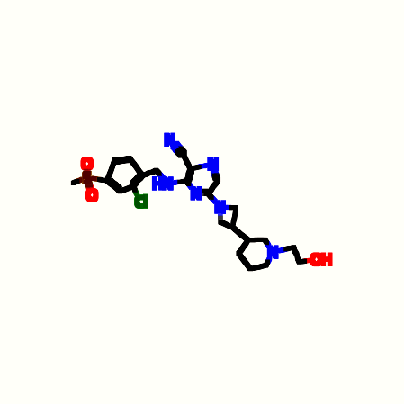 CS(=O)(=O)c1ccc(CNc2nc(N3CC(C4CCCN(CCO)C4)C3)cnc2C#N)c(Cl)c1